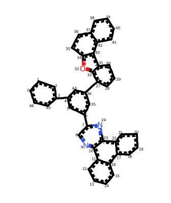 c1ccc(-c2cc(-c3cnc4c5ccccc5c5ccccc5c4n3)cc(-c3cccc4c3oc3ccc5ccccc5c34)c2)cc1